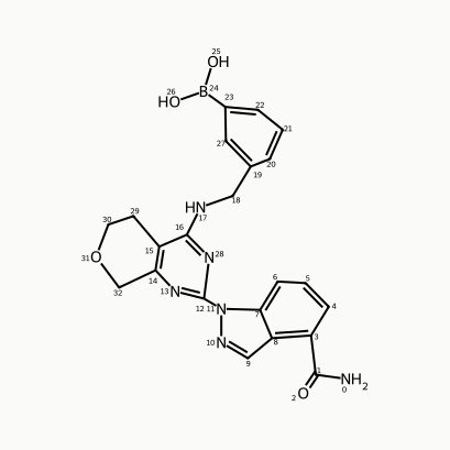 NC(=O)c1cccc2c1cnn2-c1nc2c(c(NCc3cccc(B(O)O)c3)n1)CCOC2